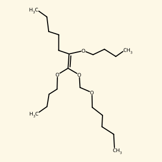 CCCCCOCO/C(OCCCC)=C(/CCCCC)OCCCC